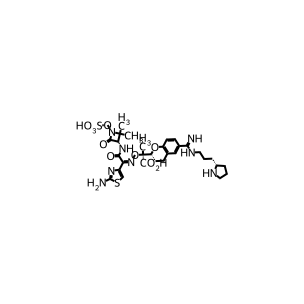 CC1(C)[C@H](NC(=O)/C(=N\O[C@](C)(C(=O)O)[C@H]2CCc3cc(C(=N)NCCC[C@@H]4CCCN4)ccc3O2)c2csc(N)n2)C(=O)N1OS(=O)(=O)O